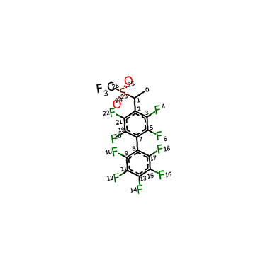 CC(c1c(F)c(F)c(-c2c(F)c(F)c(F)c(F)c2F)c(F)c1F)S(=O)(=O)C(F)(F)F